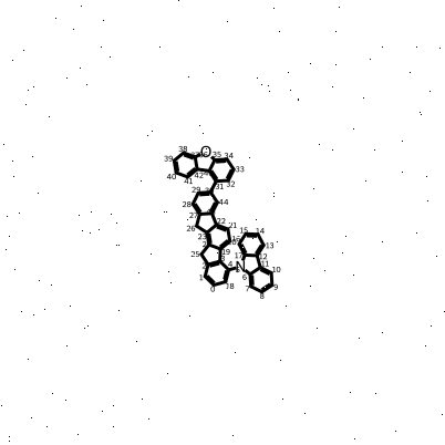 c1cc2c(c(-n3c4ccccc4c4ccccc43)c1)-c1ccc3c(c1C2)Cc1ccc(-c2cccc4oc5ccccc5c24)cc1-3